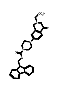 O=C(O)CN1CC(=O)c2ccc(N3CCN(C(=O)OCC4c5ccccc5-c5ccccc54)CC3)cc2C1